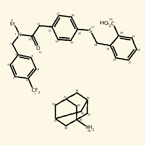 CCN(Cc1ccc(C(F)(F)F)cc1)C(=O)Cc1ccc(SCc2ccccc2C(=O)O)cc1.NC12CC3CC(CC(C3)C1)C2